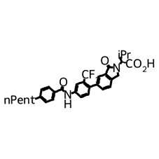 CCCCCc1ccc(C(=O)Nc2ccc(-c3ccc4c(c3)C(=O)N([C@H](C(=O)O)C(C)C)C4)c(C(F)(F)F)c2)cc1